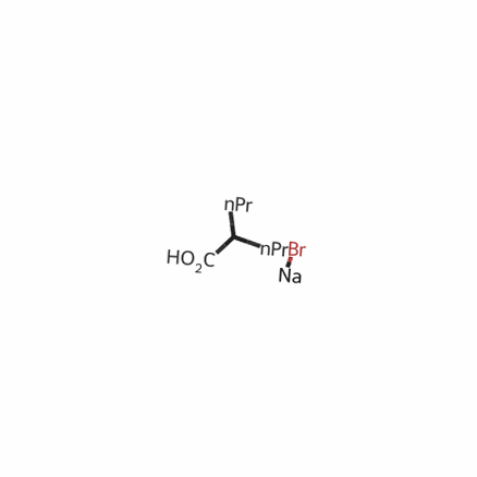 CCCC(CCC)C(=O)O.[Na][Br]